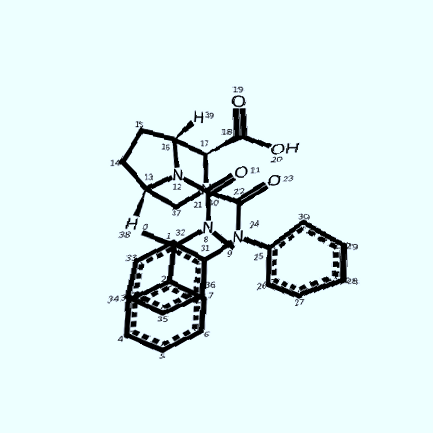 CC(c1ccccc1)N(C)C(=O)N1[C@H]2CC[C@@H]1[C@@H](C(=O)O)N(C(=O)N(c1ccccc1)c1ccccc1)C2